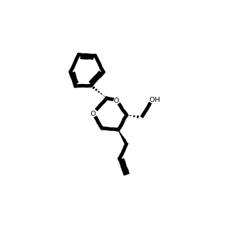 C=CC[C@H]1CO[C@H](c2ccccc2)O[C@@H]1CO